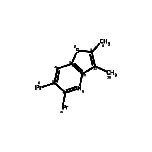 Cc1sc2cc(C(C)C)c(C(C)C)nc2c1C